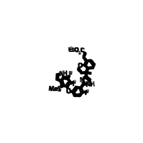 CCOC(=O)CCc1cccc2c1OCCC2(C)c1c[nH]c(-c2cc(Oc3c(F)c(F)c4[nH]ccc4c3SC)ccc2F)n1